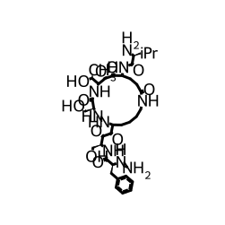 CC(C)[C@H](N)C(=O)NC1CCC(=O)NCCCCC(C(=O)C(=O)[C@H](CO)NC(=O)[C@H](Cc2ccccc2)NN)NN[C@@H](CO)C(=O)N[C@@H]([C@@H](C)O)C(=O)C1=O